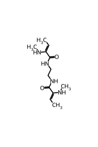 CC=C(NC)C(=O)NCCNC(=O)C(=CC)NC